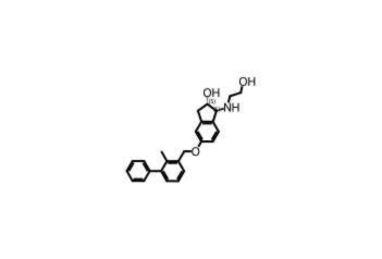 Cc1c(COc2ccc3c(c2)C[C@H](O)[C@H]3NCCO)cccc1-c1ccccc1